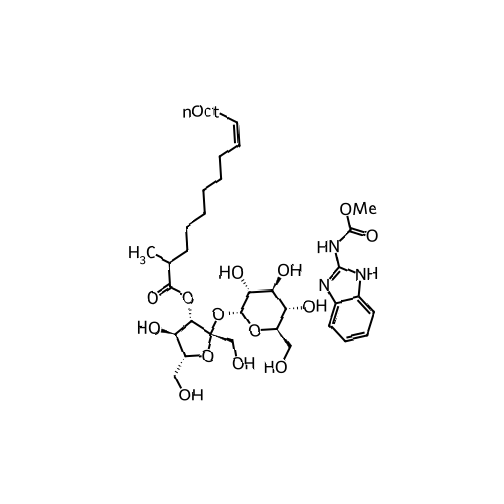 CCCCCCCC/C=C\CCCCCCC(C)C(=O)O[C@H]1[C@H](O)[C@@H](CO)O[C@@]1(CO)O[C@H]1O[C@H](CO)[C@@H](O)[C@H](O)[C@H]1O.COC(=O)Nc1nc2ccccc2[nH]1